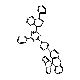 c1ccc(-c2nc(-c3ccc(-c4ccc5c(c4)C4(c6ccccc6S5)c5ccccc5-c5ccccc54)cc3)nc(-c3ccc(-c4ccccc4)c4ccccc34)n2)cc1